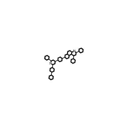 c1ccc(-c2ccc(-c3cc(-c4ccc(-c5ccc6c(ccc7nc(-c8ccccc8)cc(-c8ccccc8)c76)c5)cc4)cc(-c4ccccc4)n3)cc2)cc1